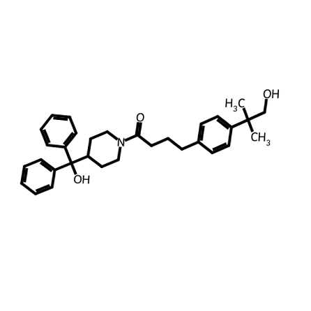 CC(C)(CO)c1ccc(CCCC(=O)N2CCC(C(O)(c3ccccc3)c3ccccc3)CC2)cc1